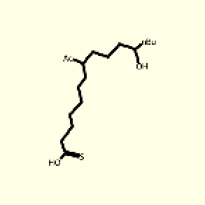 CCCCC(O)CCCC(CCCCCCC(O)=S)C(C)=O